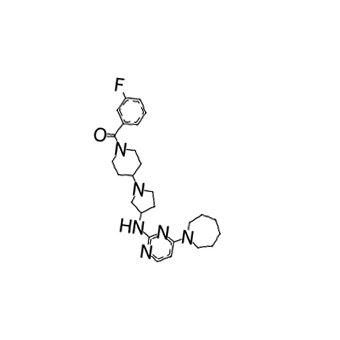 O=C(c1cccc(F)c1)N1CCC(N2CCC(Nc3nccc(N4CCCCCC4)n3)C2)CC1